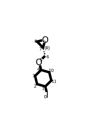 IC1CCC(OC[C@@H]2CO2)CC1